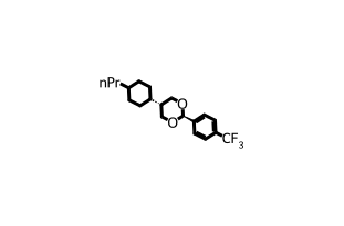 CCCC1CCC([C@H]2CO[C@H](c3ccc(C(F)(F)F)cc3)OC2)CC1